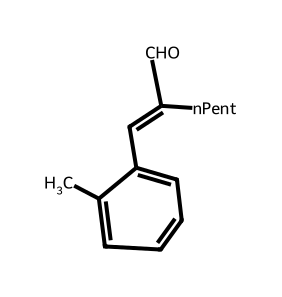 CCCCC/C(C=O)=C\c1ccccc1C